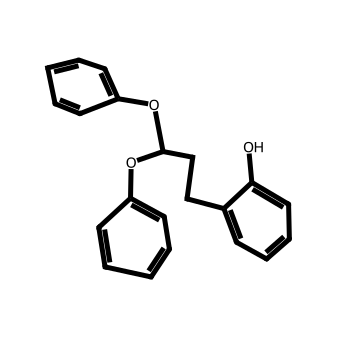 Oc1ccccc1CCC(Oc1ccccc1)Oc1ccccc1